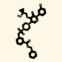 CC1(COc2c(N3CCN(S(=O)(=O)Cc4cccc(C(=O)OCc5ccccn5)c4)CC3)cnn(-c3cccc(Cl)c3)c2=O)CC1